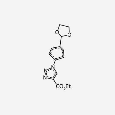 CCOC(=O)c1cn(-c2ccc(C3OCCO3)cc2)nn1